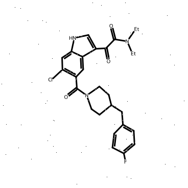 CCN(CC)C(=O)C(=O)c1c[nH]c2cc(Cl)c(C(=O)N3CCC(Cc4ccc(F)cc4)CC3)cc12